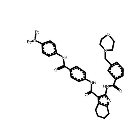 CCN(CC)c1ccc(NC(=O)c2ccc(NC(=O)c3c(NC(=O)c4cccc(CN5CCOCC5)c4)sc4c3CCCC4)cc2)cc1